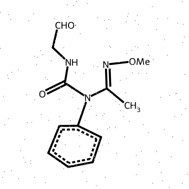 CO/N=C(\C)N(C(=O)NC[C]=O)c1ccccc1